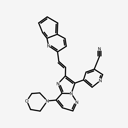 N#Cc1cncc(-c2c(/C=C/c3ccc4ccccc4n3)nc3c(N4CCOCC4)ccnn23)c1